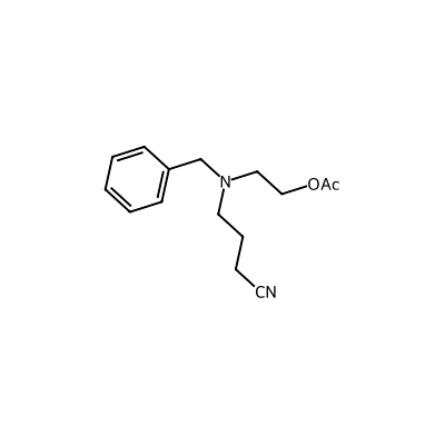 CC(=O)OCCN(CCCC#N)Cc1ccccc1